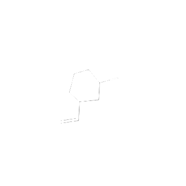 C=CC1CC[CH]C(CCC)C1